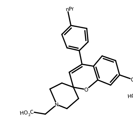 CCCc1ccc(C2=CC3(CCN(CC(=O)O)CC3)Oc3cc(Cl)ccc32)cc1.Cl